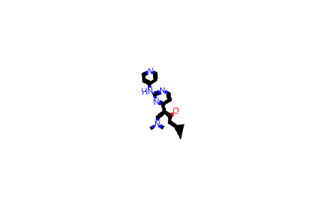 CN(C)C=C(C(=O)CC1CC1)c1ccnc(Nc2ccncc2)n1